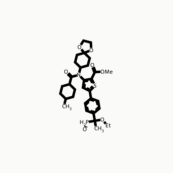 CCOC(C)([PH2]=O)c1ccc(-c2cc(N(C(=O)C3CCC(C)CC3)C3CCC4(CC3)OCCO4)c(C(=O)OC)s2)cc1